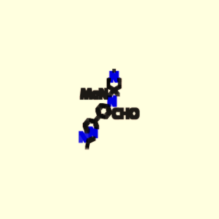 CN/C(=N\c1ccc(-c2ccc3nc(C)cn3c2)cc1C=O)C1(C)CCN(C)CC1